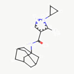 O=C(NC12CC3CC(CC(C3)C1)C2)c1cnn(C2CC2)c1C(F)(F)F